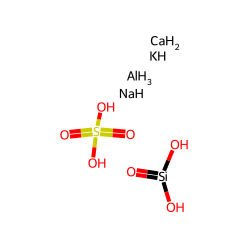 O=S(=O)(O)O.O=[Si](O)O.[AlH3].[CaH2].[KH].[NaH]